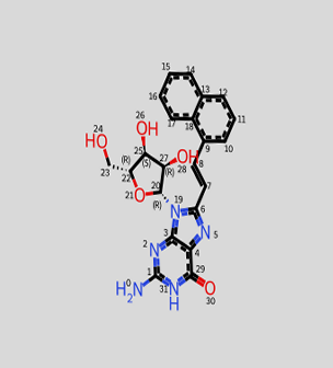 Nc1nc2c(nc(C=Cc3cccc4ccccc34)n2[C@@H]2O[C@H](CO)[C@@H](O)[C@H]2O)c(=O)[nH]1